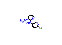 Nc1cccnc1Nc1ccc(Cl)nc1